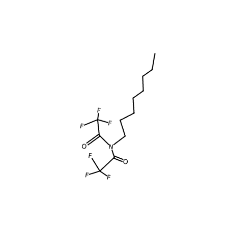 CCCCCCCCN(C(=O)C(F)(F)F)C(=O)C(F)(F)F